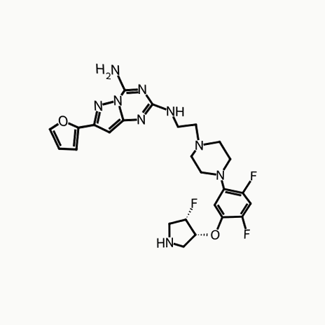 Nc1nc(NCCN2CCN(c3cc(O[C@@H]4CNC[C@@H]4F)c(F)cc3F)CC2)nc2cc(-c3ccco3)nn12